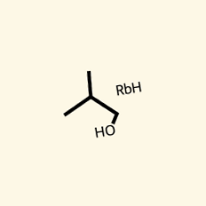 CC(C)CO.[RbH]